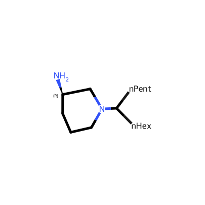 CCCCCCC(CCCCC)N1CCC[C@@H](N)C1